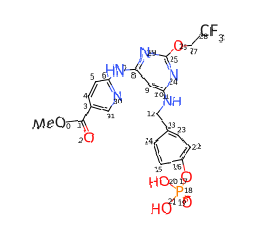 COC(=O)c1ccc(Nc2cc(NCc3ccc(OP(=O)(O)O)cc3)nc(OCC(F)(F)F)n2)nc1